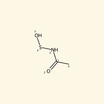 CC(=O)NSO